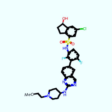 COCCN1CCC(Nc2ncc3cc(-c4c(F)ccc(NS(=O)(=O)c5cc(Cl)cc6c5CC[C@H]6O)c4F)ccc3n2)CC1